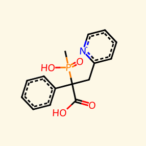 CP(=O)(O)C(Cc1ccccn1)(C(=O)O)c1ccccc1